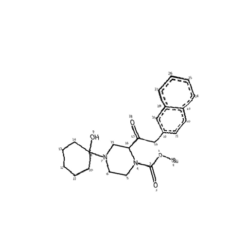 CC(C)(C)OC(=O)N1CCN(C2(O)CCCCC2)CC1C(=O)Cc1ccc2ccccc2c1